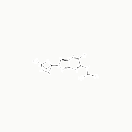 CC(C)Oc1nc2nn(C34COC(C)(C3)C4)cc2cc1Br